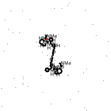 CN[C@@H](C)C(=O)N[C@H]1CCCC[C@H]2CC[C@@H](C(=O)N[C@@H](c3ccccc3)c3cn(CCOCCCCOCCN4C=C([C@@H](NC(=O)[C@@H]5CC[C@@H]6CCCC[C@H](NC(=O)[C@H](C)NC)C(=O)N65)c5ccccc5)NN4)nn3)N2C1=O